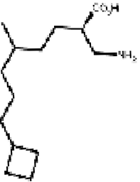 CC(CCCC1CCC1)CC[C@H](CN)C(=O)O